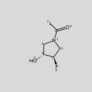 O=C(I)N1C[C@@H](O)[C@H](F)C1